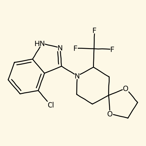 FC(F)(F)C1CC2(CCN1c1n[nH]c3cccc(Cl)c13)OCCO2